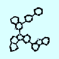 C1=CC2C=Cc3c(c4cc(-c5cccc6c5oc5ccccc56)ccc4n3-c3cc(-c4ccc(-c5ccccc5)cc4)c4c(n3)=CCCC=4)C2C=C1